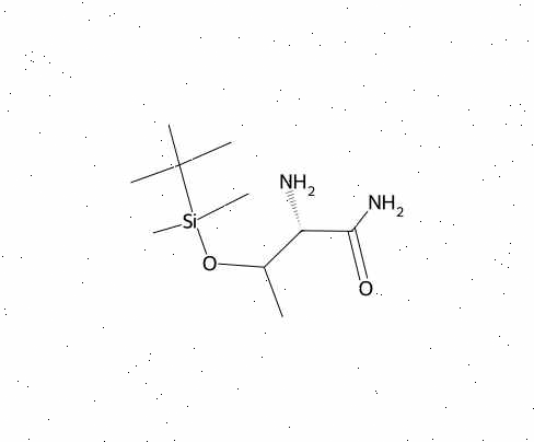 CC(O[Si](C)(C)C(C)(C)C)[C@H](N)C(N)=O